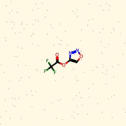 O=C(Oc1conn1)C(F)(F)F